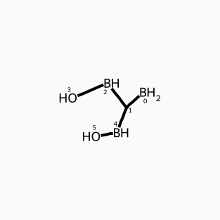 BC(BO)BO